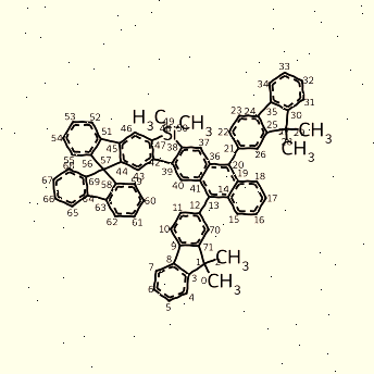 CC1(C)c2ccccc2-c2ccc(-c3c4ccccc4c(-c4ccc5c(c4)C(C)(C)c4ccccc4-5)c4cc5c(cc34)-c3cc4c(cc3[Si]5(C)C)-c3ccccc3C43c4ccccc4-c4ccccc43)cc21